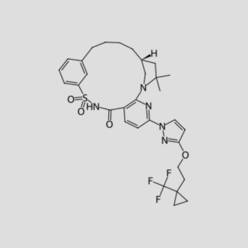 CC1(C)C[C@H]2CCCCc3cccc(c3)S(=O)(=O)NC(=O)c3ccc(-n4ccc(OCCC5(C(F)(F)F)CC5)n4)nc3N1C2